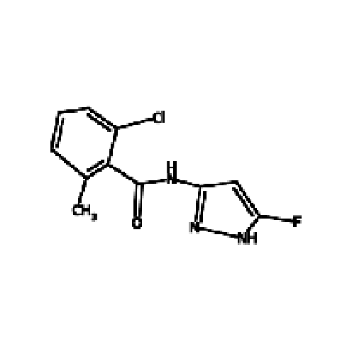 Cc1cccc(Cl)c1C(=O)Nc1cc(F)[nH]n1